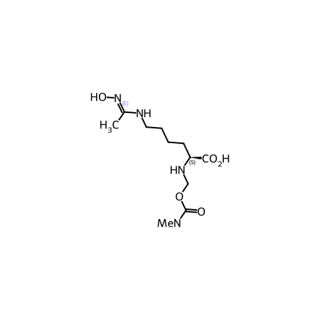 CNC(=O)OCN[C@@H](CCCCN/C(C)=N/O)C(=O)O